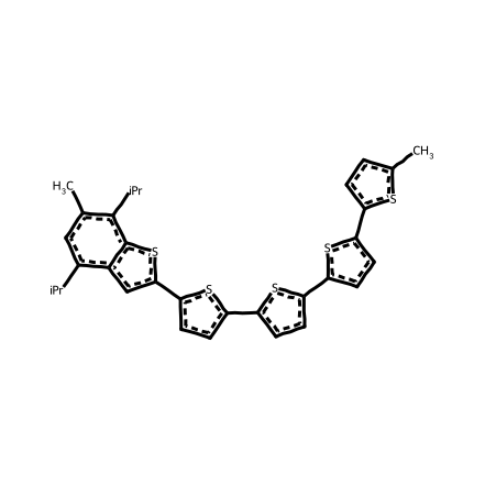 Cc1ccc(-c2ccc(-c3ccc(-c4ccc(-c5cc6c(C(C)C)cc(C)c(C(C)C)c6s5)s4)s3)s2)s1